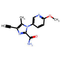 C#Cc1nc(C(N)=O)n(-c2ccc(OC)nc2)c1C